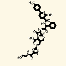 Cc1ccc(-c2ccc(C(=O)NC(C(=O)NC3C(=O)N4C(C(=O)O)=C(CSc5nnc(C(=O)NCCO)s5)CS[C@@H]34)c3ccccc3)c(O)n2)cc1